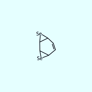 C1=CC2[Se]C2C2[Se]C12